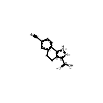 N#Cc1ccc2c(c1)CCc1c(C(=O)O)n[nH]c1-2